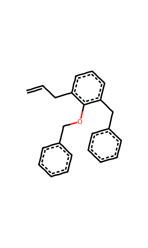 C=CCc1cccc(Cc2ccccc2)c1OCc1ccccc1